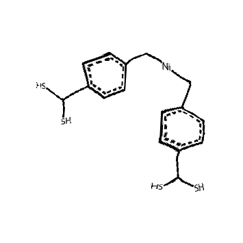 SC(S)c1ccc([CH2][Ni][CH2]c2ccc(C(S)S)cc2)cc1